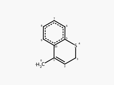 [CH2]C1=CCSc2ccccc21